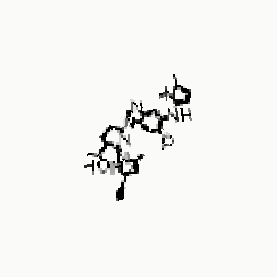 C#Cc1cc(C)n(-c2nc(-n3cnc4cc(Nc5ccc(C)n5C)c(OC)cc43)ccc2C(C)O)n1